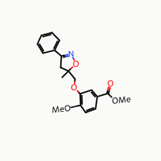 COC(=O)c1ccc(OC)c(OCC2(C)CC(c3ccccc3)=NO2)c1